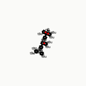 CC(C)(C)c1ccc(OP(=O)(Oc2ccc(C(C)(C)C)cc2C(C)(C)C)c2ccc(-c3ccc(P(=O)(Oc4ccc(C(C)(C)C)cc4C(C)(C)C)c4ccc(-c5ccc(P(=O)(Oc6ccc(C(C)(C)C)cc6C(C)(C)C)Oc6ccc(C(C)(C)C)cc6C(C)(C)C)cc5)cc4)cc3)cc2)c(C(C)(C)C)c1